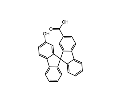 O=C(O)c1ccc2c(c1)C1(c3ccccc3-c3ccc(O)cc31)c1ccccc1-2